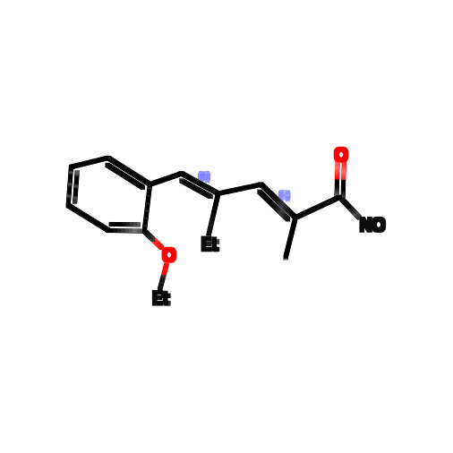 CCOc1ccccc1/C=C(/C=C(\C)C(=O)N=O)CC